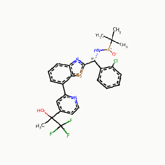 CC(C)(C)[S+]([O-])N[C@@H](c1nc2cccc(-c3cc(C(C)(O)C(F)(F)F)ccn3)c2s1)c1ccccc1Cl